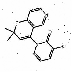 CC1(C)C=C(n2cccc(Cl)c2=O)c2cnccc2O1